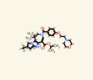 CC(C)OC(=O)C1=CN(C(=O)c2ccc(OCCN3CCOCC3)cc2)CC(C)(C)c2c1[nH]c1cc(C(F)(F)F)cn21